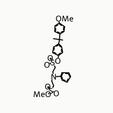 COc1ccc(C(C)(C)c2ccc(OS(=O)(=O)CCN(CCS(=O)(=O)OC)c3ccccc3)cc2)cc1